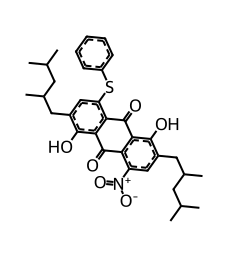 CC(C)CC(C)Cc1cc(Sc2ccccc2)c2c(c1O)C(=O)c1c([N+](=O)[O-])cc(CC(C)CC(C)C)c(O)c1C2=O